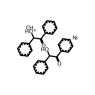 C.O=C(c1ccccc1)C(O)c1ccccc1.O=C(c1ccccc1)C(O)c1ccccc1.[Ni]